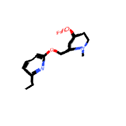 CCc1cccc(OCC2C(O)CCN2C)n1